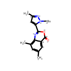 Cc1cc(C)c2nc(-c3cc(C)nn3C(C)(C)C)oc(=O)c2c1